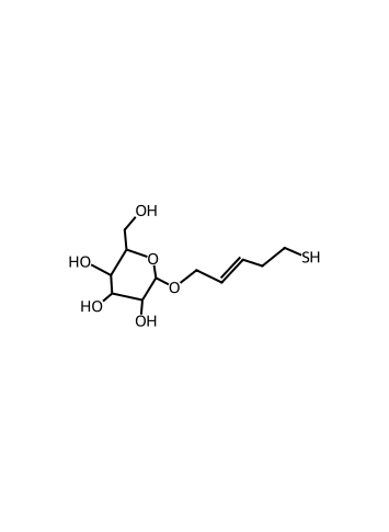 OCC1OC(OC/C=C/CCS)C(O)C(O)C1O